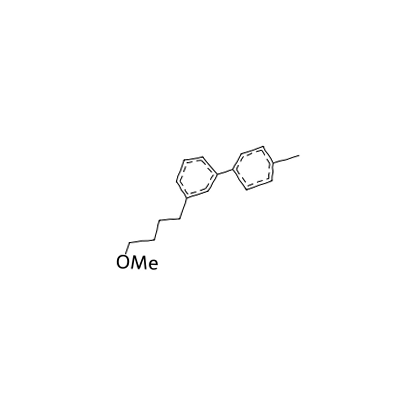 COCCCCc1cccc(-c2ccc(C)cc2)c1